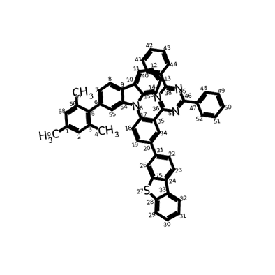 Cc1cc(C)c(-c2ccc3c4ccccc4n(-c4ccc(-c5ccc6c(c5)sc5ccccc56)cc4-c4nc(-c5ccccc5)nc(-c5ccccc5)n4)c3c2)c(C)c1